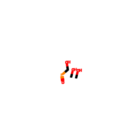 CO.CO.O=PCO